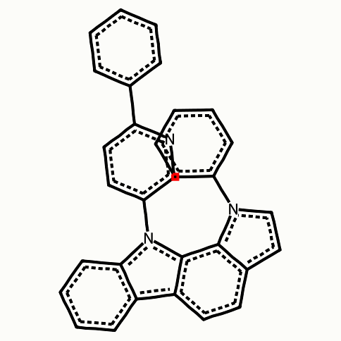 c1ccc(-c2ccc(-n3c4ccccc4c4ccc5ccn(-c6ccccc6)c5c43)cn2)cc1